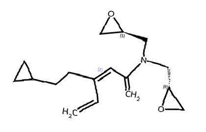 C=C/C(=C\C(=C)N(C[C@H]1CO1)C[C@@H]1CO1)CCC1CC1